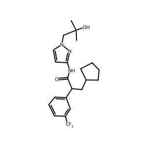 CC(C)(O)Cn1ccc(NC(=O)C(CC2CCCC2)c2cccc(C(F)(F)F)c2)n1